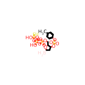 BC1CC(OS(=O)(=O)Oc2ccc(C)cc2)C(COP(=O)(O)OP(=O)(O)OP(=O)(O)S)O1